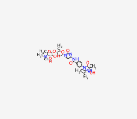 CC1OC(n2ccc(NC(=O)c3ccc(N4C(=O)C(C)(CO)NC4(C)C)cc3)nc2=O)CCC1OC1OC(C)C(N(C)C)C(O)C1O